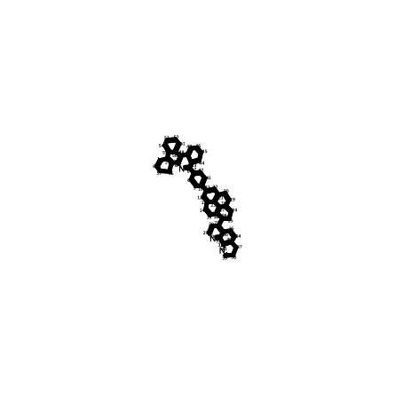 C1=Cc2c(c3nc(-c4ccc(-c5cc6ccc7c8c(ccc(c5)c68)=CCC7c5ccnc6c7c(ccc56)CCC=N7)cc4)c4ccccc4c3c3ccccc23)CC1